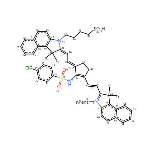 CCCCC[N+]1=C(/C=C/C2=C(NS(=O)(=O)c3ccc(Cl)cc3)C(=C/C=C3/N(CCCCS(=O)(=O)O)c4ccc5ccccc5c4C3(C)C)/CC2)C(C)(C)c2c1ccc1ccccc21